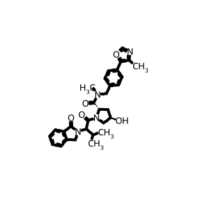 Cc1ncoc1-c1ccc(CN(C)C(=O)[C@@H]2C[C@@H](O)CN2C(=O)C(C(C)C)N2Cc3ccccc3C2=O)cc1